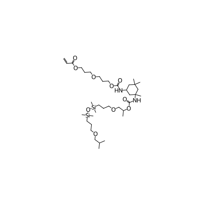 C=CC(=O)OCCCOCCCOC(=O)NC1CC(C)(C)CC(C)(NC(=O)OC(C)COCCC[Si](C)(C)O[Si](C)(C)CCCOCC(C)C)C1